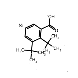 CC(C)(C)c1cccc(C(=O)O)c1C(C)(C)C.[Ni]